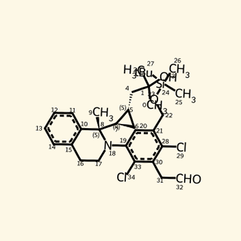 CC(C)(O)C[C@@H]1C[C@H]1[C@@]1(C)c2ccccc2CCN1c1cc(CO[Si](C)(C)C(C)(C)C)c(Cl)c(CC=O)c1Cl